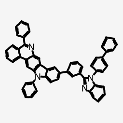 c1ccc(-c2ccc(-n3c(-c4cccc(-c5ccc6c(c5)c5cc7nc(-c8ccccc8)c8ccccc8c7cc5n6-c5ccccc5)c4)nc4ccccc43)cc2)cc1